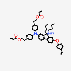 C=CC(=O)OCCc1ccc(N(c2ccc(CCOC(=O)C=C)cc2)c2ccc3c(c2)C(CCCC)(NCCCC)c2cc(Oc4ccc(C=C)cc4)ccc2-3)cc1